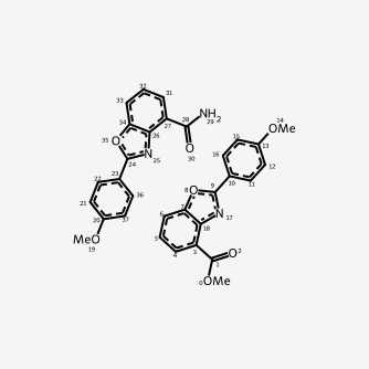 COC(=O)c1cccc2oc(-c3ccc(OC)cc3)nc12.COc1ccc(-c2nc3c(C(N)=O)cccc3o2)cc1